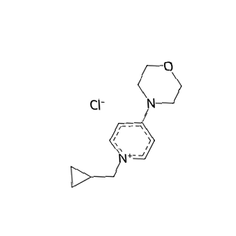 [Cl-].c1c[n+](CC2CC2)ccc1N1CCOCC1